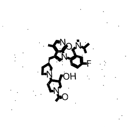 CC(=O)N1CCC(N2CC[C@@H](Cc3cn(-c4ccc(F)cc4C(=O)N(C)C(C)C)c4cncc(C)c34)C2)C(CO)C1